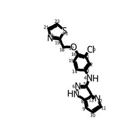 Clc1cc(Nc2n[nH]c3cccnc23)ccc1OCc1nccs1